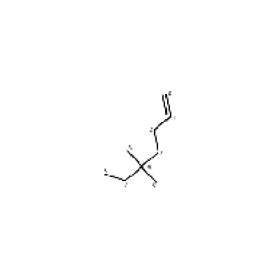 C=CCCC(C)(C)CC